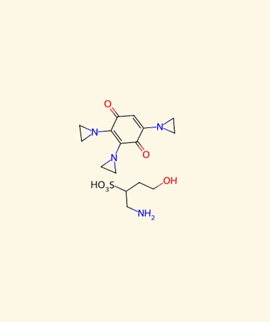 NCC(CCO)S(=O)(=O)O.O=C1C=C(N2CC2)C(=O)C(N2CC2)=C1N1CC1